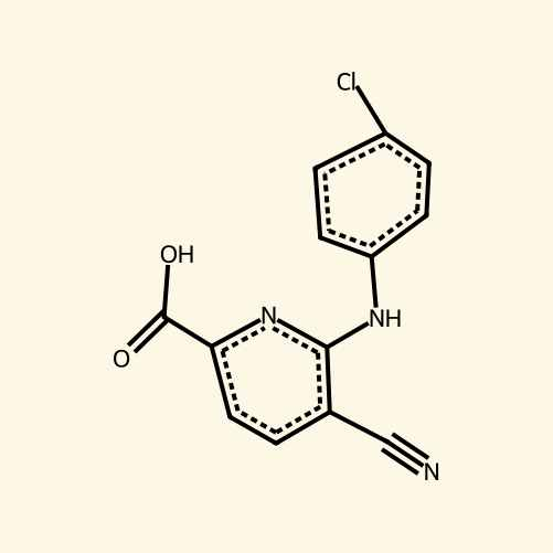 N#Cc1ccc(C(=O)O)nc1Nc1ccc(Cl)cc1